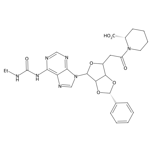 CCNC(=O)Nc1ncnc2c1ncn2C1OC(CC(=O)N2CCCC[C@H]2C(=O)O)C2O[C@H](c3ccccc3)OC21